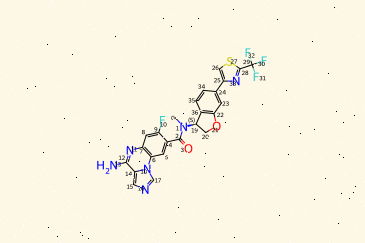 CN(C(=O)c1cc2c(cc1F)nc(N)c1cncn12)[C@@H]1COc2cc(-c3csc(C(F)(F)F)n3)ccc21